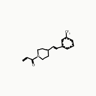 C=CC(=O)N1CCC(C=Cc2cccc(C(F)(F)F)c2)CC1